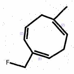 C/C1=C/C/C=C(CF)\C=C/C1